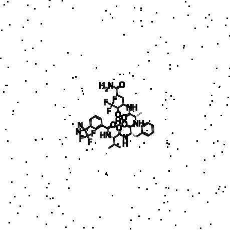 CC(C)[C@H](NC(=O)c1cccc(C2(C(F)(F)F)N=N2)c1)C(=O)N[C@@H](Cc1ccccc1)C(=O)N[C@@H](C)C(=O)NC(CCC(N)=O)C(O)C(F)(F)F